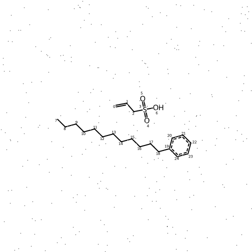 C=CCS(=O)(=O)O.CCCCCCCCCCCCc1ccccc1